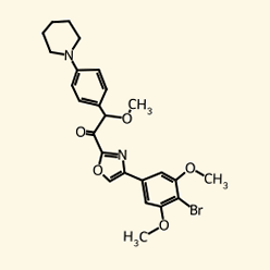 COc1cc(-c2coc(C(=O)C(OC)c3ccc(N4CCCCC4)cc3)n2)cc(OC)c1Br